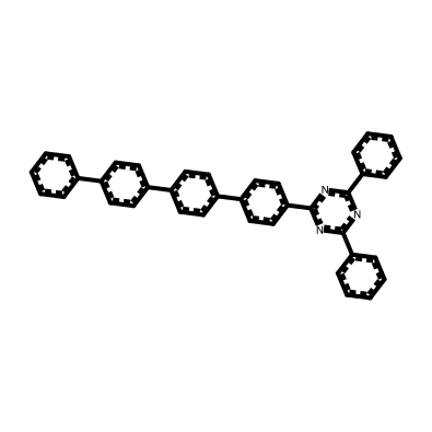 c1ccc(-c2ccc(-c3ccc(-c4ccc(-c5nc(-c6ccccc6)nc(-c6ccccc6)n5)cc4)cc3)cc2)cc1